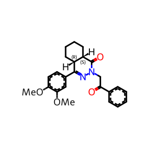 COc1ccc(C2=NN(CC(=O)c3ccccc3)C(=O)[C@H]3CCCC[C@@H]23)cc1OC